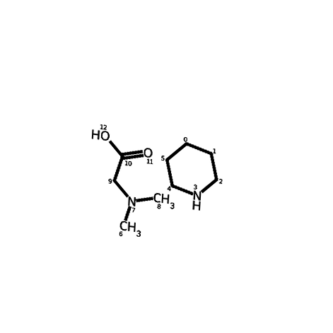 C1CCNCC1.CN(C)CC(=O)O